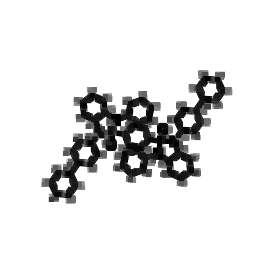 O=P1(c2ccc(P3(=O)N(c4ccccc4)c4ccccc4N3c3ccc(-c4ccccc4)cc3)cc2)N(c2ccccc2)c2ccccc2N1c1ccc(-c2ccccc2)cc1